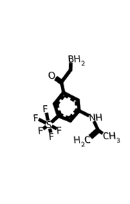 BCC(=O)c1cc(NC(=C)C)cc(S(F)(F)(F)(F)F)c1